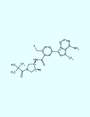 CC(O)(C(=O)N1C[C@H](F)[C@H](NC(=O)c2cc(-c3cc(C(F)(F)F)c4c(N)ncnn34)ccc2CF)C1)C(F)(F)F